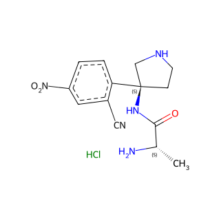 C[C@H](N)C(=O)N[C@]1(c2ccc([N+](=O)[O-])cc2C#N)CCNC1.Cl